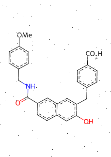 COc1ccc(CNC(=O)c2ccc3cc(O)c(Cc4ccc(C(=O)O)cc4)cc3c2)cc1